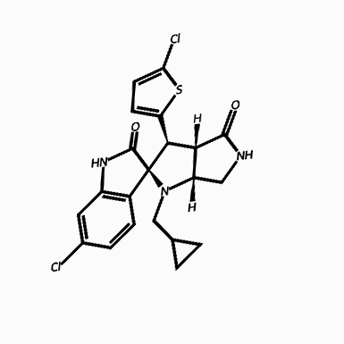 O=C1NC[C@H]2[C@@H]1[C@H](c1ccc(Cl)s1)[C@]1(C(=O)Nc3cc(Cl)ccc31)N2CC1CC1